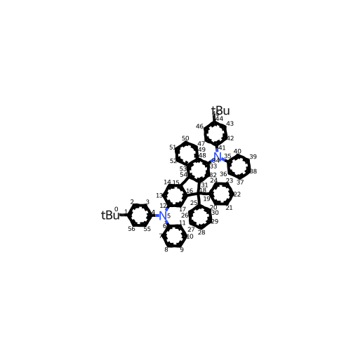 CC(C)(C)c1ccc(N(c2ccccc2)c2ccc3c(c2)C(c2ccccc2)(c2ccccc2)c2cc(N(c4ccccc4)c4ccc(C(C)(C)C)cc4)c4ccccc4c2-3)cc1